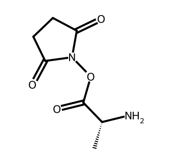 C[C@@H](N)C(=O)ON1C(=O)CCC1=O